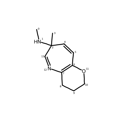 CNC1(C)C=CC2=C(CCCO2)N=C1